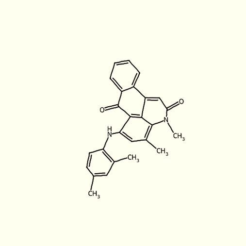 Cc1ccc(Nc2cc(C)c3c4c(cc(=O)n3C)-c3ccccc3C(=O)c24)c(C)c1